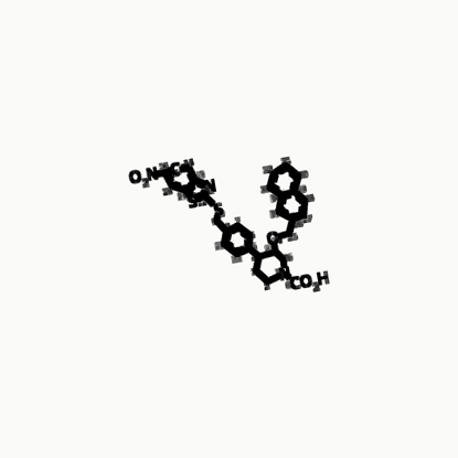 O=C(O)N1CCC(c2ccc(CSc3nc4ccc([N+](=O)[O-])cc4s3)cc2)C(OCc2ccc3ccccc3c2)C1